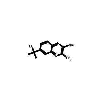 CCC(C)(C)c1ccc2nc(C(C)(C)C)c(C(F)(F)F)nc2c1